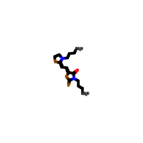 O=C(O)CCCN1C(=O)C(=CC=C2SCCN2CCCS(=O)(=O)O)SC1=S